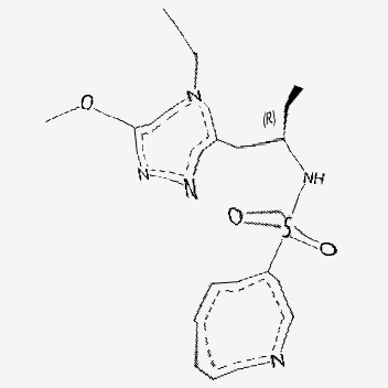 CCn1c(OC)nnc1[C@@H](C)NS(=O)(=O)c1cccnc1